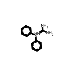 N=C(N)N.c1ccc(Sc2ccccc2)cc1